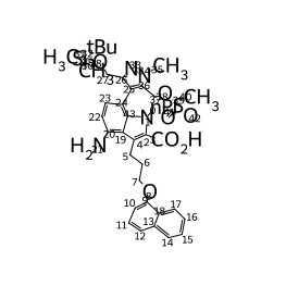 CCCn1c(C(=O)O)c(CCCOc2cccc3ccccc23)c2c(N)ccc(-c3c(CO[Si](C)(C)C(C)(C)C)nn(C)c3COS(C)(=O)=O)c21